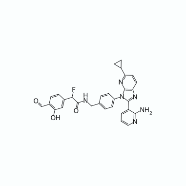 Nc1ncccc1-c1nc2ccc(C3CC3)nc2n1-c1ccc(CNC(=O)C(F)c2ccc(C=O)c(O)c2)cc1